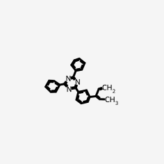 C=C/C(=C\C)c1cccc(-c2nc(-c3ccccc3)nc(-c3ccccc3)n2)c1